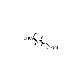 CCCCCC/C=C(C)/C(C)=C(\C)C=O